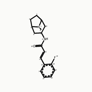 CN1C2CCC1CC(NC(=O)C=Cc1ccccc1F)C2